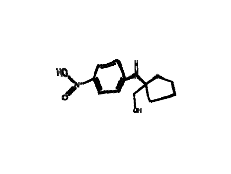 O=[N+](O)c1ccc(NC2(CO)CCCC2)cc1